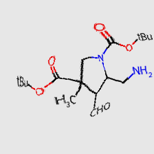 CC(C)(C)OC(=O)N1CC(C)(C(=O)OC(C)(C)C)C(C=O)C1CN